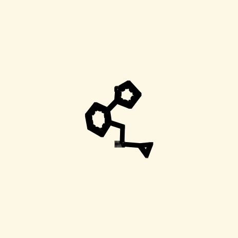 c1coc(-c2ccccc2CNC2CC2)c1